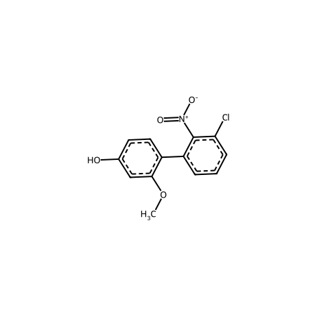 COc1cc(O)ccc1-c1cccc(Cl)c1[N+](=O)[O-]